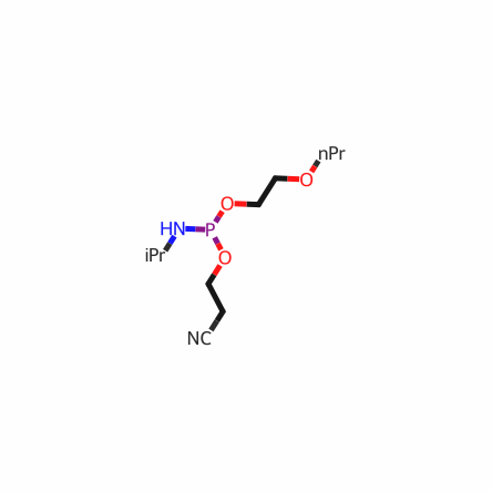 CCCOCCOP(NC(C)C)OCCC#N